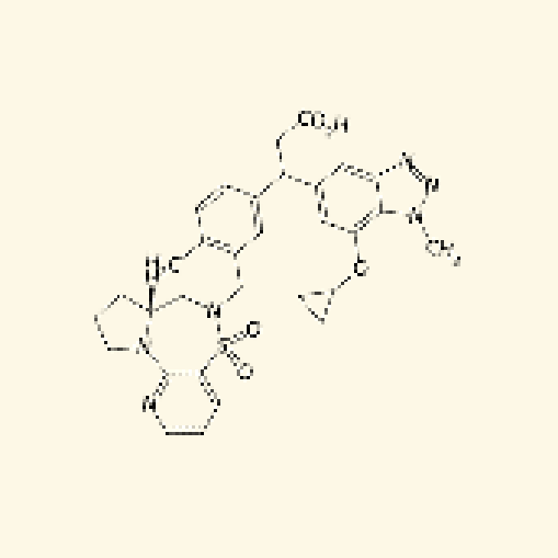 Cc1ccc(C(CC(=O)O)c2cc(OC3CC3)c3c(c2)nnn3C)cc1CN1C[C@H]2CCCN2c2ncccc2S1(=O)=O